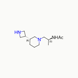 CC(=O)N[C@@H](C)CN1CCC[C@H](C2CNC2)C1